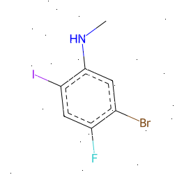 CNc1cc(Br)c(F)cc1I